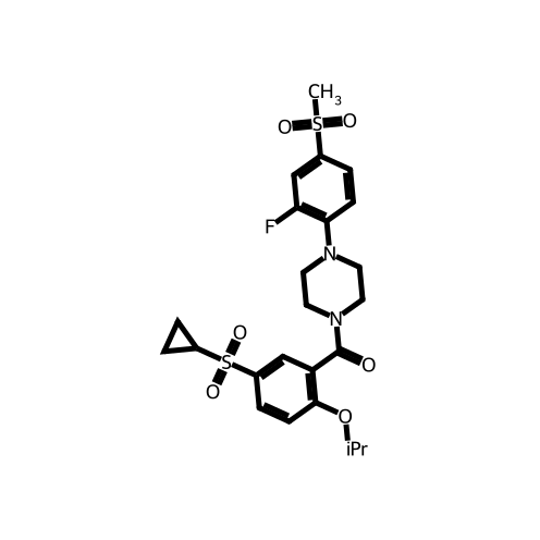 CC(C)Oc1ccc(S(=O)(=O)C2CC2)cc1C(=O)N1CCN(c2ccc(S(C)(=O)=O)cc2F)CC1